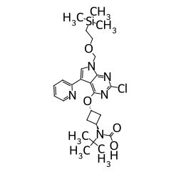 CC(C)(C)N(C(=O)O)[C@H]1C[C@H](Oc2nc(Cl)nc3c2c(-c2ccccn2)cn3COCC[Si](C)(C)C)C1